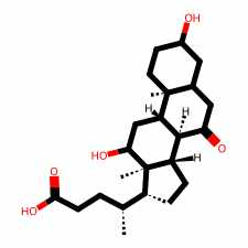 C[C@H](CCC(=O)O)[C@H]1CC[C@H]2[C@@H]3C(=O)CC4CC(O)CC[C@]4(C)[C@H]3CC(O)[C@]12C